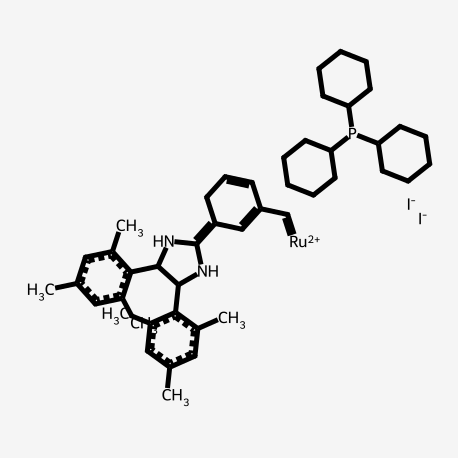 C1CCC(P(C2CCCCC2)C2CCCCC2)CC1.Cc1cc(C)c(C2NC(=C3C=C([CH]=[Ru+2])C=CC3)NC2c2c(C)cc(C)cc2C)c(C)c1.[I-].[I-]